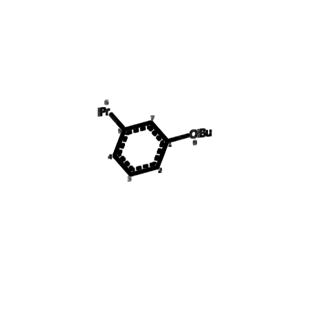 CC(C)COc1cccc(C(C)C)c1